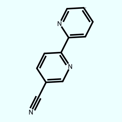 N#Cc1ccc(-c2cc[c]cn2)nc1